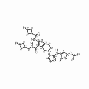 Cn1nc(OC(F)F)cc1Nc1nncn1[C@H]1CCc2sc(NC(=O)C3CC(F)C3)c(C(=O)NCC3CC(F)C3)c2C1